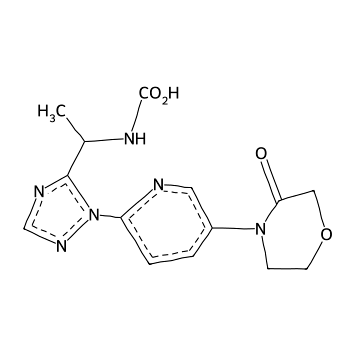 CC(NC(=O)O)c1ncnn1-c1ccc(N2CCOCC2=O)cn1